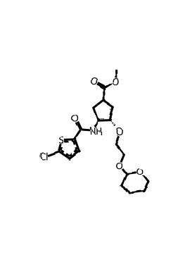 COC(=O)C1C[C@H](NC(=O)c2ccc(Cl)s2)[C@@H](OCCOC2CCCCO2)C1